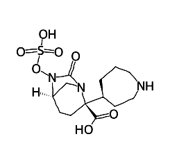 O=C1N(OS(=O)(=O)O)[C@@H]2CC[C@@](C(=O)O)([C@H]3CCCNCC3)N1C2